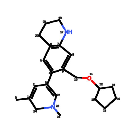 CC1=CC(c2cc3c(cc2COC2CCCC2)NCCC3)=CN(C)C1